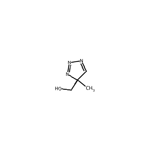 CC1(CO)C=NN=N1